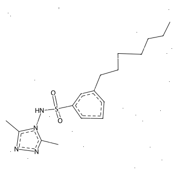 CCCCCCCc1cccc(S(=O)(=O)Nn2c(C)nnc2C)c1